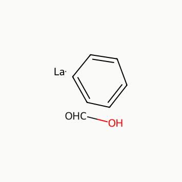 O=CO.[La].c1ccccc1